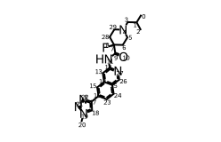 CC(C)CN1CCC(F)(C(=O)Nc2cc3cc(-c4cn(C)nn4)ccc3cn2)CC1